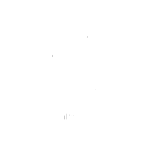 [CH2]C(C)C1CC=CCCC1